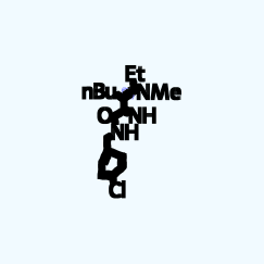 CCCC/C(C(=N)C(=O)NCc1ccc(Cl)cc1)=C(\CC)NC